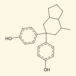 CC1CC(c2ccc(O)cc2)(c2ccc(O)cc2)CC2CCCC12